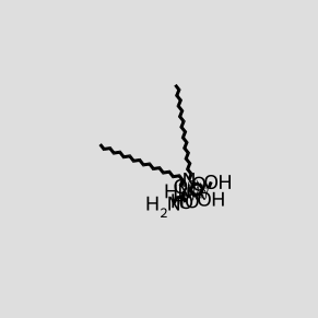 CCCCCCCCCCCCCCCCCCN(C(=O)CCCCCCCCCCCCCCCCC)[C@@H]1O[C@H](CO)[C@@H](O)[C@H](O)[C@H]1NC(=O)CN